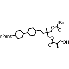 C=C(CO)C(=O)OCC(C)(CCC1CCC(C2CCC(CCCCC)CC2)CC1)COC(=O)C(C)(C)C